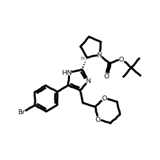 CC(C)(C)OC(=O)N1CCC[C@H]1c1nc(CC2OCCCO2)c(-c2ccc(Br)cc2)[nH]1